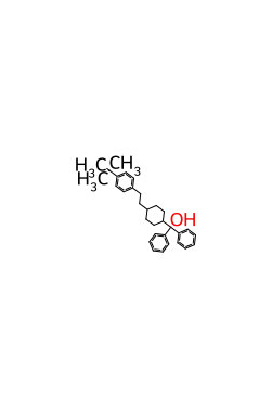 CC(C)(C)c1ccc(CCC2CCC(C(O)(c3ccccc3)c3ccccc3)CC2)cc1